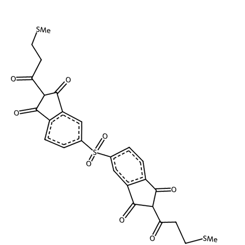 CSCCC(=O)C1C(=O)c2ccc(S(=O)(=O)c3ccc4c(c3)C(=O)C(C(=O)CCSC)C4=O)cc2C1=O